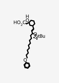 CC(C)(C)[Si](C)(C)OC(C=CC1CCCC(O)(CC(=O)O)C1)CCCCCCCCCCOc1ccccc1